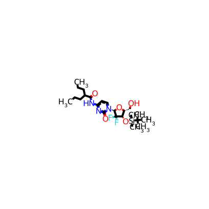 CCCC(CCC)C(=O)Nc1ccn([C@@H]2O[C@H](CO)[C@@H](O[Si](C)(C)C(C)(C)C)C2(F)F)c(=O)n1